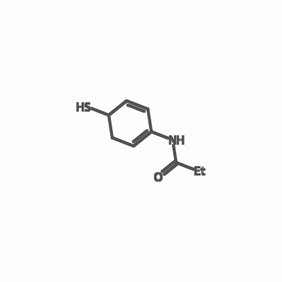 CCC(=O)NC1=CCC(S)C=C1